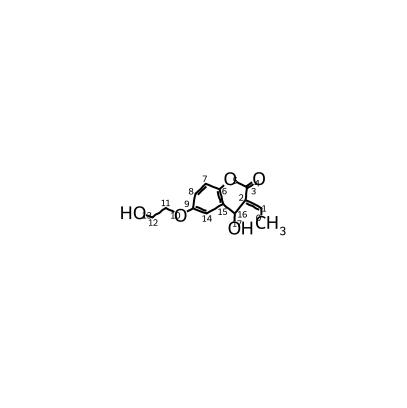 CC=C1C(=O)Oc2ccc(OCCO)cc2C1O